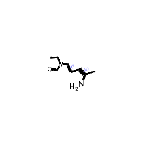 CCN(C=O)/C=C/C=C(/C)N